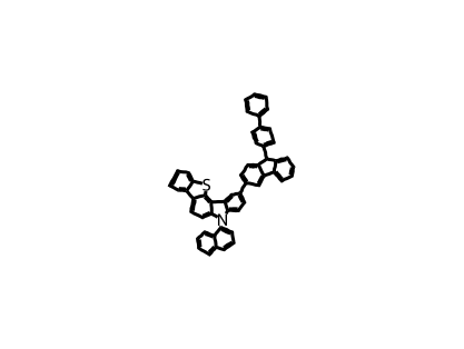 c1ccc(-c2ccc(C3c4ccccc4-c4cc(-c5ccc6c(c5)c5c7sc8ccccc8c7ccc5n6-c5cccc6ccccc56)ccc43)cc2)cc1